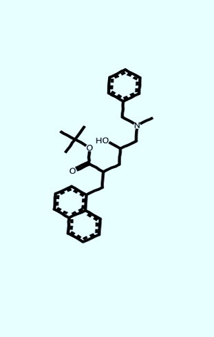 CN(Cc1ccccc1)CC(O)CC(Cc1cccc2ccccc12)C(=O)OC(C)(C)C